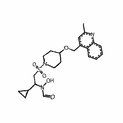 Cc1cc(COC2CCN(S(=O)(=O)CC(C3CC3)N(O)C=O)CC2)c2ccccc2n1